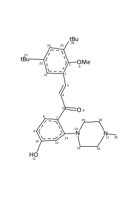 COc1c(C=CC(=O)c2ccc(O)cc2N2CCN(C)CC2)cc(C(C)(C)C)cc1C(C)(C)C